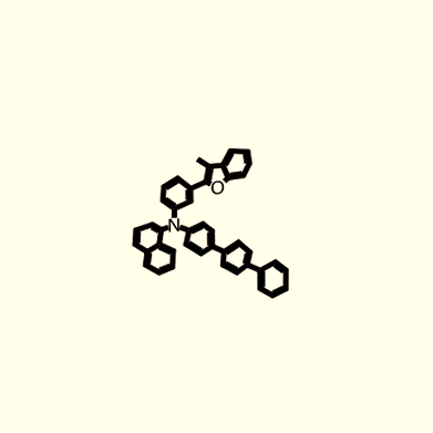 Cc1c(-c2cccc(N(c3ccc(-c4ccc(-c5ccccc5)cc4)cc3)c3cccc4ccccc34)c2)oc2ccccc12